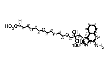 CCCCc1nc2c(N)nc3ccccc3c2n1CC(C)(C)COCCOCCOCCOCCNC(=O)O